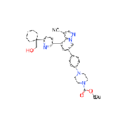 CC(C)(C)OC(=O)N1CCN(c2ccc(-c3cc(-c4ccc(C5(CO)CCCCC5)nc4)c4c(C#N)cnn4c3)cc2)CC1